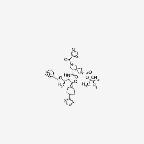 C[C@@H](OCC12CCC(CC1)OC2)[C@H](NC(=O)[C@@H]1CN(C(=O)c2cncs2)CC12CN(C(=O)OC(C)(C)C)C2)C(=O)N1CCC(c2nccs2)CC1